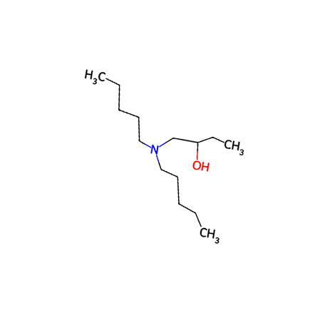 CCCCCN(CCCCC)CC(O)CC